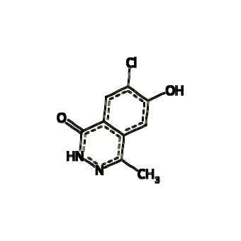 Cc1n[nH]c(=O)c2cc(Cl)c(O)cc12